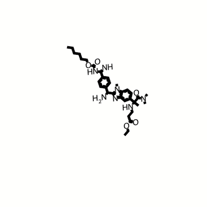 CCCCCCOC(=O)NC(=N)c1ccc(C(N)c2nc3cc(C(C)(NCCC(=O)OCC)C(=O)N(C)C)ccc3n2C)cc1